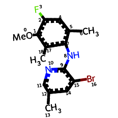 COc1c(F)cc(C)c(Nc2ncc(C)cc2Br)c1C